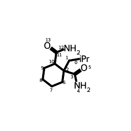 CC(C)CC1(C(N)=O)CCCCC1C(N)=O